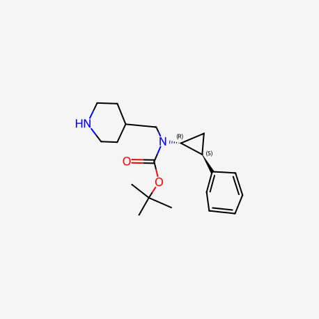 CC(C)(C)OC(=O)N(CC1CCNCC1)[C@@H]1C[C@H]1c1ccccc1